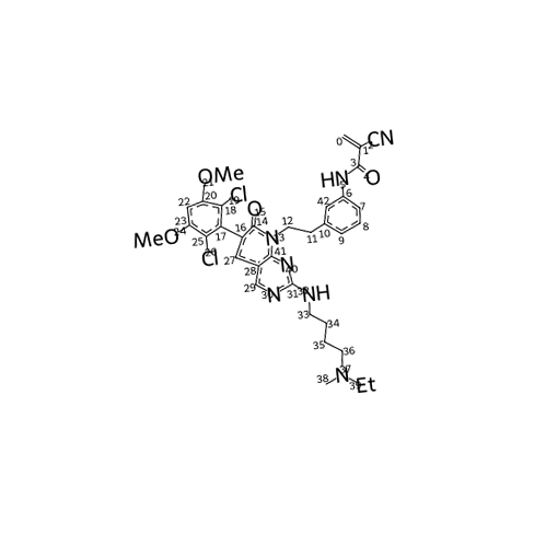 C=C(C#N)C(=O)Nc1cccc(CCn2c(=O)c(-c3c(Cl)c(OC)cc(OC)c3Cl)cc3cnc(NCCCCN(C)CC)nc32)c1